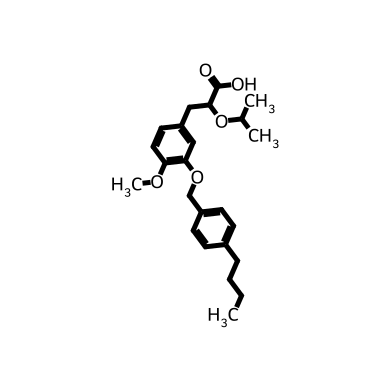 CCCCc1ccc(COc2cc(CC(OC(C)C)C(=O)O)ccc2OC)cc1